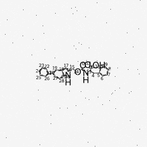 O=C(N[C@H](Cc1ccccc1)C(=O)O)OCc1cc2cc(-c3ccccc3)ccc2[nH]1